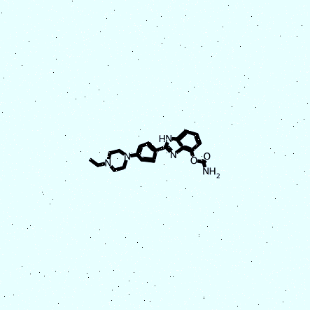 CCN1CCN(c2ccc(-c3nc4c(OC(N)=O)cccc4[nH]3)cc2)CC1